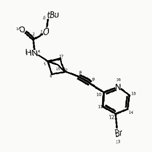 CC(C)(C)OC(=O)NC12CC(C#Cc3cc(Br)ccn3)(C1)C2